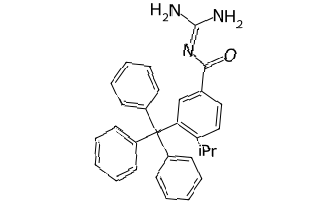 CC(C)c1ccc(C(=O)N=C(N)N)cc1C(c1ccccc1)(c1ccccc1)c1ccccc1